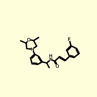 CC1CN(c2cccc(C(C)NC(=O)C=Cc3cccc(F)c3)c2)CC(C)O1